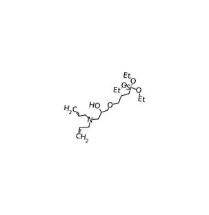 C=CCN(CC=C)CC(O)COCCC[Si](OCC)(OCC)OCC